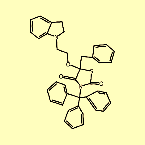 O=C1SC(Cc2ccccc2)(OCCN2CCc3ccccc32)C(=O)N1C(c1ccccc1)(c1ccccc1)c1ccccc1